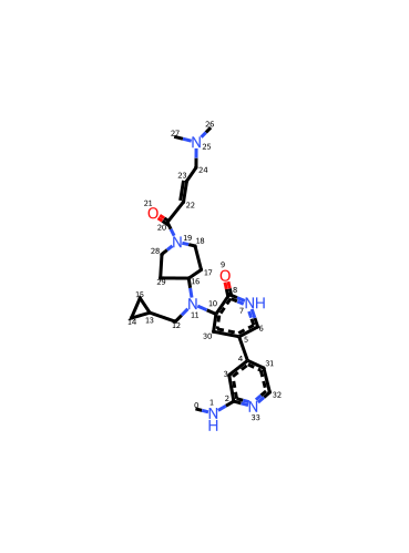 CNc1cc(-c2c[nH]c(=O)c(N(CC3CC3)C3CCN(C(=O)/C=C/CN(C)C)CC3)c2)ccn1